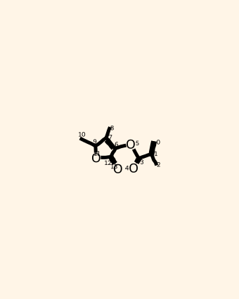 C=C(C)C(=O)OC1=C(C)C(C)OC1=O